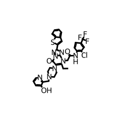 CCc1c(N2CCN(Cc3ncccc3O)CC2)c(=O)n2nc(-c3cc4ccccc4s3)nc2n1CC(=O)Nc1ccc(C(F)(F)F)cc1Cl